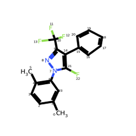 Cc1ccc(C)c(-n2nc(C(F)(F)F)c(-c3ccccc3)c2F)c1